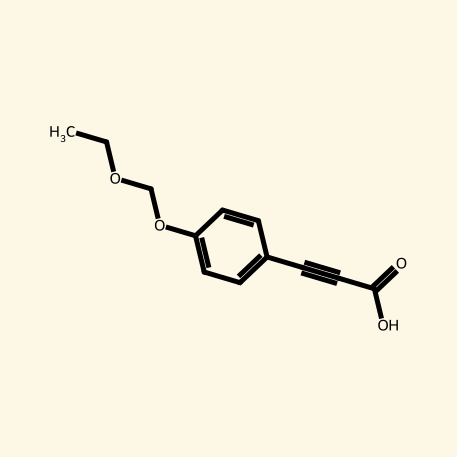 CCOCOc1ccc(C#CC(=O)O)cc1